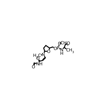 COP(NC(C)C=O)OCC1CCC(N(C)/C=C\C(=O)NC=O)O1